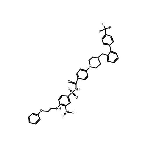 O=C(NS(=O)(=O)c1ccc(NCCSc2ccccc2)c([N+](=O)[O-])c1)c1ccc(N2CCN(Cc3ccccc3-c3ccc(C(F)(F)F)cc3)CC2)cc1